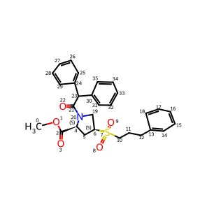 COC(=O)[C@@H]1C[C@H](S(=O)(=O)CCCc2ccccc2)CN1C(=O)C(c1ccccc1)c1ccccc1